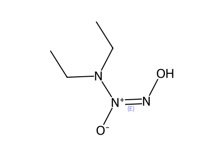 CCN(CC)/[N+]([O-])=N\O